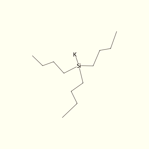 CCCC[Si]([K])(CCCC)CCCC